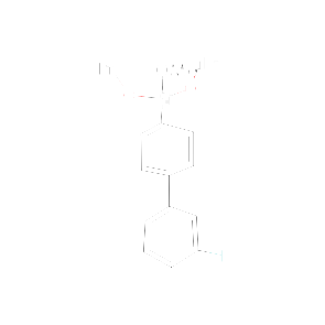 CO[Si](OC(C)C)(OC(C)C)c1ccc(-c2cccc(F)c2)cc1